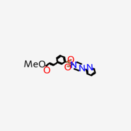 COC(=O)/C=C/c1cccc(S(=O)(=O)N2CCN(c3ccccn3)CC2)c1